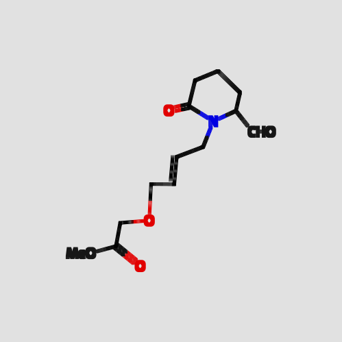 COC(=O)COCC=CCN1C(=O)CCCC1C=O